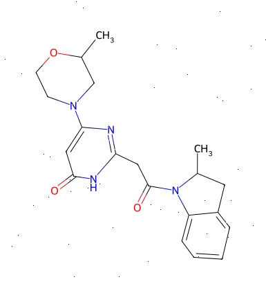 CC1CN(c2cc(=O)[nH]c(CC(=O)N3c4ccccc4CC3C)n2)CCO1